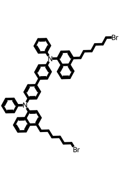 BrCCCCCCc1ccc(N(c2ccccc2)c2ccc(-c3ccc(N(c4ccccc4)c4ccc(CCCCCCBr)c5ccccc45)cc3)cc2)c2ccccc12